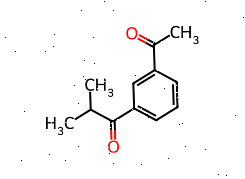 CC(=O)c1cccc(C(=O)C(C)C)c1